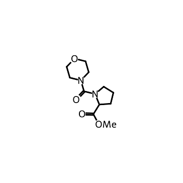 COC(=O)C1CCCN1C(=O)N1CCOCC1